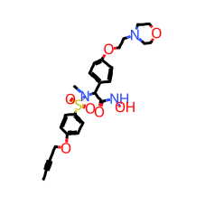 CC#CCOc1ccc(S(=O)(=O)N(C)C(C(=O)NO)c2ccc(OCCN3CCOCC3)cc2)cc1